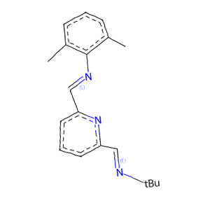 Cc1cccc(C)c1/N=C/c1cccc(/C=N/C(C)(C)C)n1